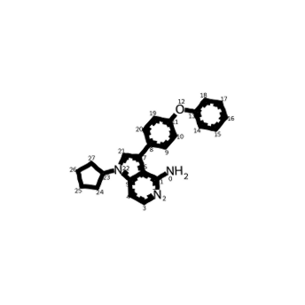 Nc1nccc2c1c(-c1ccc(Oc3ccccc3)cc1)cn2C1CCCC1